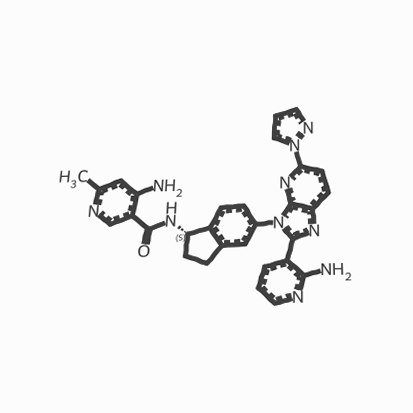 Cc1cc(N)c(C(=O)N[C@H]2CCc3cc(-n4c(-c5cccnc5N)nc5ccc(-n6cccn6)nc54)ccc32)cn1